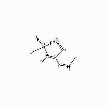 C/N=C\C(C=O)=C(/C)C(F)(F)F